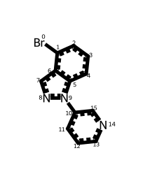 Brc1cccc2c1cnn2-c1cccnc1